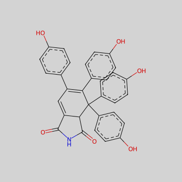 O=C1NC(=O)C2C1=CC(c1ccc(O)cc1)=C(c1ccc(O)cc1)C2(c1ccc(O)cc1)c1ccc(O)cc1